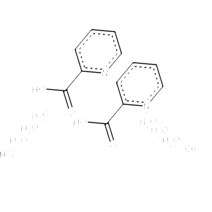 Cl.O.O.O.O.O.O.O=C(O)c1ccccn1.O=C(O)c1ccccn1.[Cu]